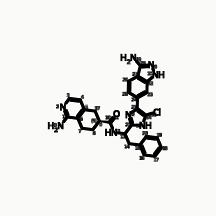 Nc1nccc2c1CC[C@H](C(=O)NC(Cc1ccccc1)c1nc(-c3ccc4c(N)n[nH]c4c3)c(Cl)[nH]1)C2